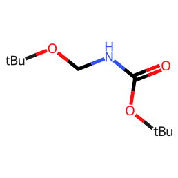 CC(C)(C)OCNC(=O)OC(C)(C)C